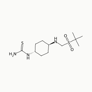 CC(C)(C)S(=O)(=O)CN[C@H]1CC[C@H](NC(N)=S)CC1